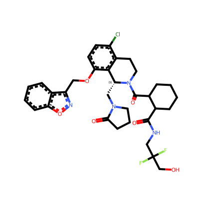 O=C(NCC(F)(F)CO)C1CCCCC1C(=O)N1CCc2c(Cl)ccc(OCc3noc4ccccc34)c2[C@H]1CN1CCCC1=O